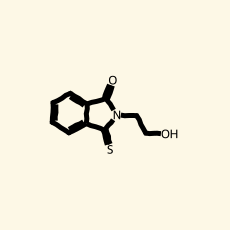 O=C1c2ccccc2C(=S)N1CCO